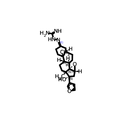 C[C@]12CC/C(=N\NC(=N)N)C[C@H]1CC[C@@H]1[C@@H]2CC[C@@]2(C)[C@@]13O[C@@H]3C[C@@]2(O)c1ccoc1